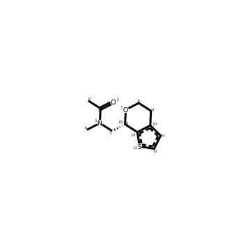 CC(=O)N(C)C[C@@H]1OCCc2ccsc21